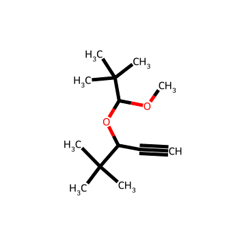 C#CC(OC(OC)C(C)(C)C)C(C)(C)C